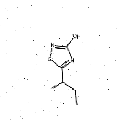 CCC(C)c1nc(O)ns1